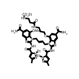 CCOC(=O)NCCC(=O)NCCCOc1cc(C(N)=O)cc2nc(NC(=O)c3cc(C)nn3CC)n(C/C=C/Cn3c(NC(=O)c4cc(C)nn4CC)nc4cc(C(N)=O)cc(OC)c43)c12